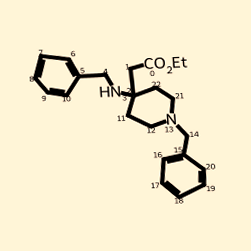 CCOC(=O)CC1(NCc2ccccc2)CCN(Cc2ccccc2)CC1